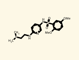 COc1ccc(OC)c(S(=O)(=O)Nc2ccc(NCCN(C)C)nc2)c1